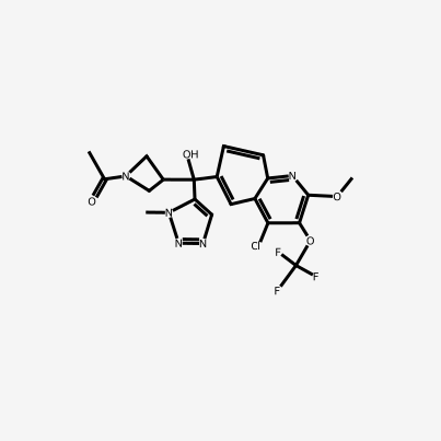 COc1nc2ccc(C(O)(c3cnnn3C)C3CN(C(C)=O)C3)cc2c(Cl)c1OC(F)(F)F